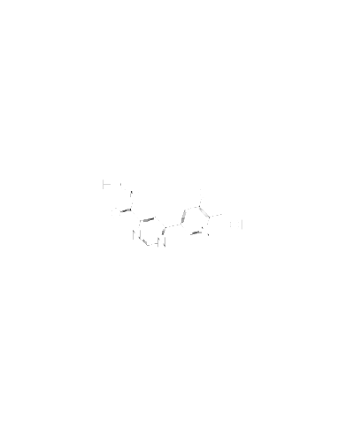 COC(=O)c1cc(-c2cnc(CO)c(Cl)c2)ncn1